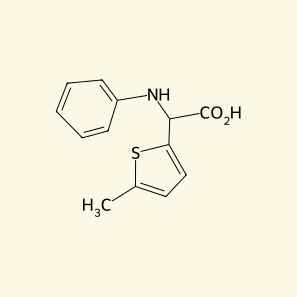 Cc1ccc(C(Nc2ccccc2)C(=O)O)s1